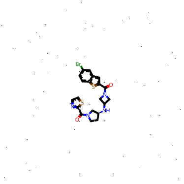 O=C(c1cc2cc(Br)ccc2s1)N1CC(N[C@H]2CCN(C(=O)c3nccs3)C2)C1